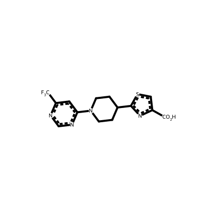 O=C(O)c1csc(C2CCN(c3cc(C(F)(F)F)ncn3)CC2)n1